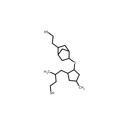 CC(CCS)CC1CC(C)CC1SC1CC2CC1CC2CCS